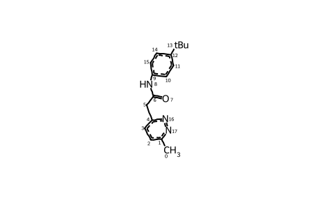 Cc1ccc(CC(=O)Nc2ccc(C(C)(C)C)cc2)nn1